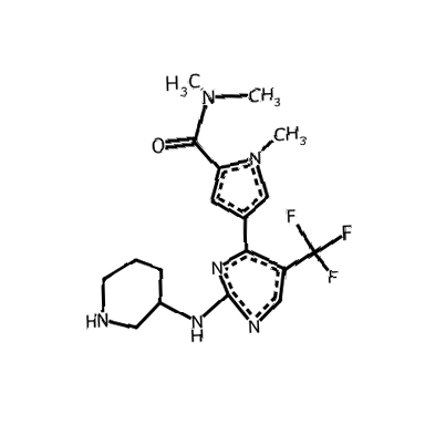 CN(C)C(=O)c1cc(-c2nc(NC3CCCNC3)ncc2C(F)(F)F)cn1C